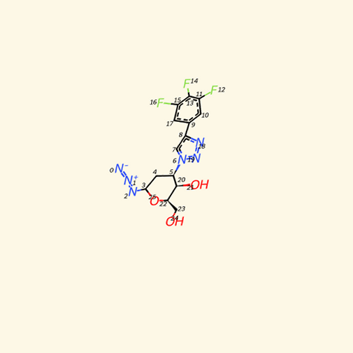 [N-]=[N+]=NC1C[C@@H](n2cc(-c3cc(F)c(F)c(F)c3)nn2)[C@@H](O)[C@@H](CO)O1